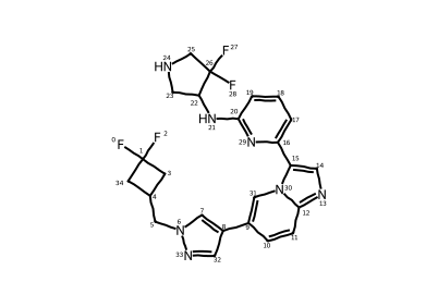 FC1(F)CC(Cn2cc(-c3ccc4ncc(-c5cccc(NC6CNCC6(F)F)n5)n4c3)cn2)C1